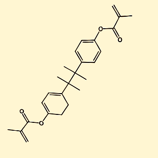 C=C(C)C(=O)OC1=CC=C(C(C)(C)C(C)(C)c2ccc(OC(=O)C(=C)C)cc2)CC1